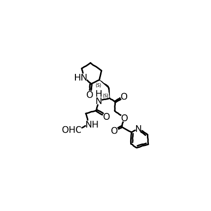 O=CNCC(=O)N[C@@H](C[C@@H]1CCCNC1=O)C(=O)COC(=O)c1ccccn1